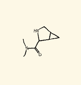 CN(C)C(=O)C1NCC2CC21